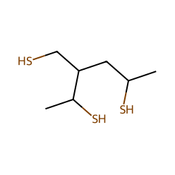 CC(S)CC(CS)C(C)S